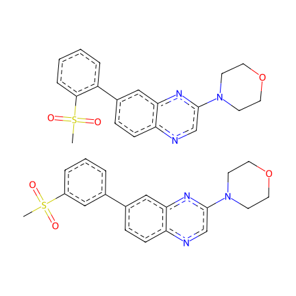 CS(=O)(=O)c1cccc(-c2ccc3ncc(N4CCOCC4)nc3c2)c1.CS(=O)(=O)c1ccccc1-c1ccc2ncc(N3CCOCC3)nc2c1